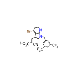 N#C/C(=C\c1cn(Cc2cc(C(F)(F)F)cc(C(F)(F)F)c2)c2nccc(Br)c12)C(=O)O